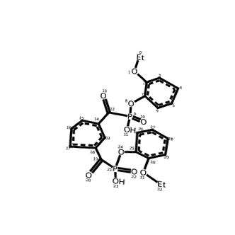 CCOc1ccccc1OP(=O)(O)C(=O)c1cccc(C(=O)P(=O)(O)Oc2ccccc2OCC)c1